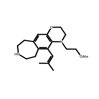 COCCN1CCOc2cc3c(c(C=C(C)C)c21)CCNCC3